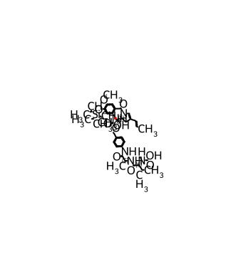 CC=CC1=CN(C(=O)c2cc(OC)c(O[Si](C(C)C)(C(C)C)C(C)C)cc2NC(=O)OCc2ccc(NC(=O)[C@H](C)NC(=O)[C@@H](NC(=O)O)C(C)C)cc2)[C@H](CO)C1